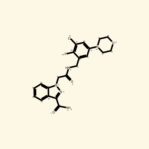 NC(=O)c1nn(CC(=O)NCc2cc(N3CCOCC3)cc(Cl)c2F)c2ccccc12